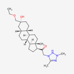 CCOC[C@@]1(O)CC[C@H]2[C@H](CC[C@@H]3[C@@H]2CC[C@]2(C)[C@@H](C(=O)CN4NN(C)N=C4C)CC[C@@H]32)C1